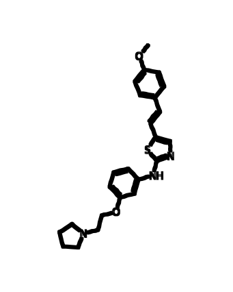 COc1ccc(C=Cc2cnc(Nc3cccc(OCCN4CCCC4)c3)s2)cc1